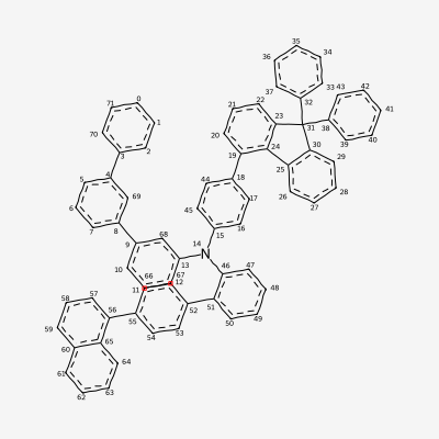 c1ccc(-c2cccc(-c3cccc(N(c4ccc(-c5cccc6c5-c5ccccc5C6(c5ccccc5)c5ccccc5)cc4)c4ccccc4-c4ccc(-c5cccc6ccccc56)cc4)c3)c2)cc1